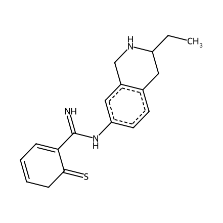 CCC1Cc2ccc(NC(=N)C3=CC=CCC3=S)cc2CN1